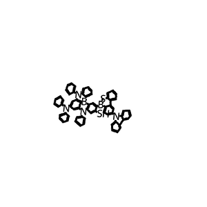 Sc1cc2c(cc1B1Sc3ccccc3-c3cc(-n4c5ccccc5c5ccccc54)ccc31)B1c3ccccc3N(c3ccccc3)c3cc(N(c4ccccc4)c4ccccc4)cc(c31)N2c1ccccc1